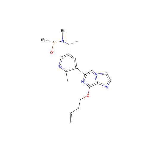 C=CCCOc1nc(-c2cc([C@@H](C)N(CC)[S@+]([O-])C(C)(C)C)cnc2C)cn2ccnc12